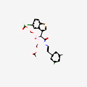 CC(C)(C)C(=O)OCOP(=O)(OCOC(=O)C(C)(C)C)C(C(=O)NC=Cc1cc(F)cc(C(F)(F)F)c1)c1csc2ccc(Cl)cc12